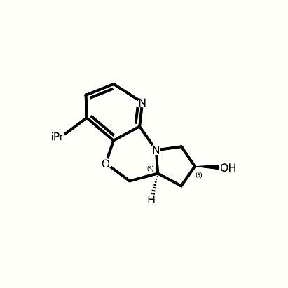 CC(C)c1ccnc2c1OC[C@@H]1C[C@H](O)CN21